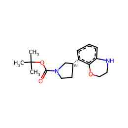 CC(C)(C)OC(=O)N1CC[C@@H](c2cccc3c2OCCN3)C1